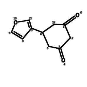 O=C1CC(=O)CC(c2ccoc2)C1